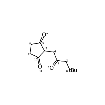 CC(C)(C)CC(=O)CC1C(=O)CCC1=O